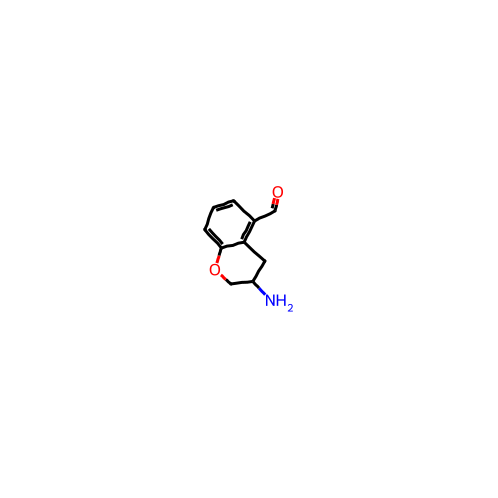 NC1COc2cccc(C=O)c2C1